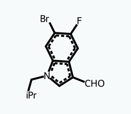 CC(C)Cn1cc(C=O)c2cc(F)c(Br)cc21